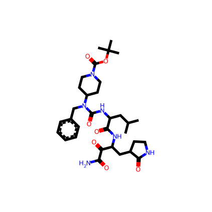 CC(C)CC(NC(=O)N(Cc1ccccc1)C1CCN(C(=O)OC(C)(C)C)CC1)C(=O)NC(CC1CCNC1=O)C(=O)C(N)=O